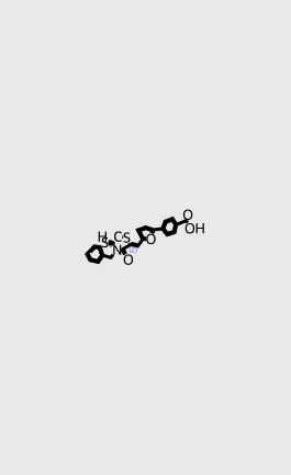 CS/C(=C\c1ccc(-c2ccc(C(=O)O)cc2)o1)C(=O)N(C=S)Cc1ccccc1